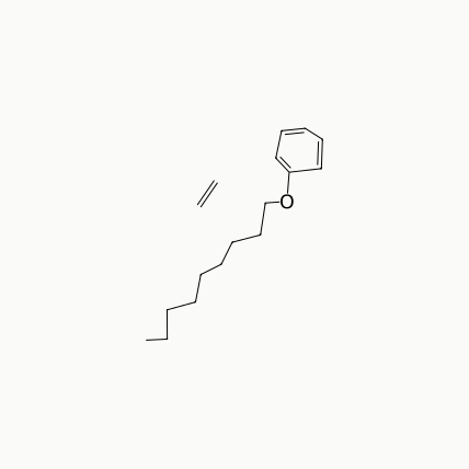 C=C.CCCCCCCCCOc1ccccc1